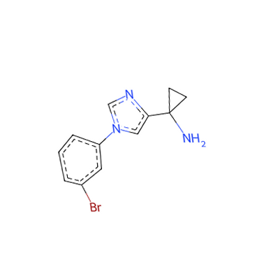 NC1(c2cn(-c3cccc(Br)c3)cn2)CC1